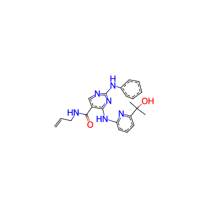 C=CCNC(=O)c1cnc(Nc2ccccc2)nc1Nc1cccc(C(C)(C)O)n1